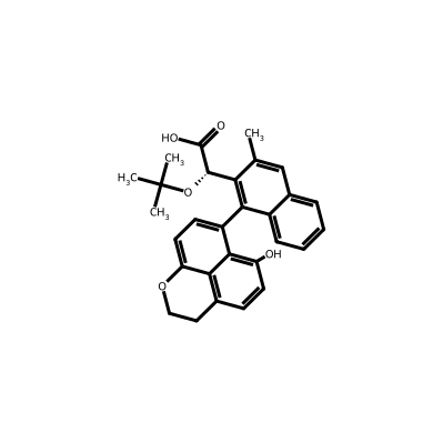 Cc1cc2ccccc2c(-c2ccc3c4c(ccc(O)c24)CCO3)c1[C@H](OC(C)(C)C)C(=O)O